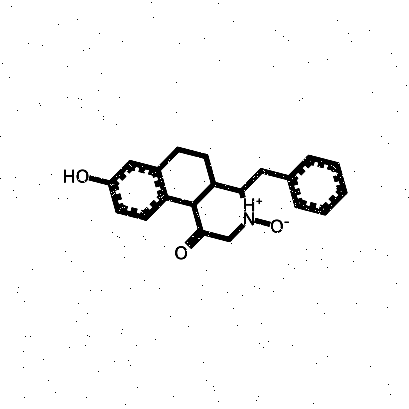 O=C1C[NH+]([O-])C(Cc2ccccc2)C2CCc3cc(O)ccc3C12